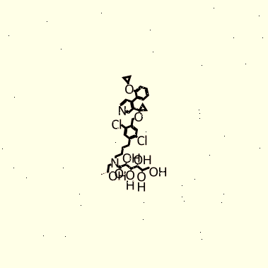 C[C@@H](O)CN(CCCCc1cc(Cl)c(COC2(c3cnccc3-c3ccccc3OC3CC3)CC2)cc1Cl)C(=O)[C@@H](O)[C@@H](O)[C@H](O)[C@@H](O)CO